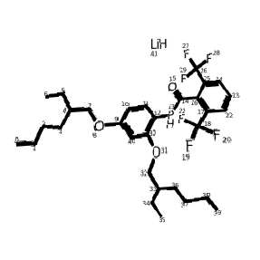 CCCCC(CC)COc1ccc(PC(=O)c2c(C(F)(F)F)cccc2C(F)(F)F)c(OCC(CC)CCCC)c1.[LiH]